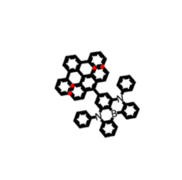 c1ccc(-c2cccc(-c3ccccc3)c2-c2c3ccccc3c(-c3cc4c5c(c3)N(c3ccccc3)c3ccccc3B5c3ccccc3N4c3ccccc3)c3ccccc23)cc1